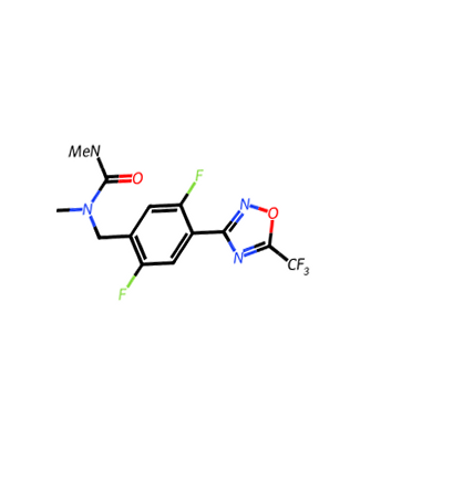 CNC(=O)N(C)Cc1cc(F)c(-c2noc(C(F)(F)F)n2)cc1F